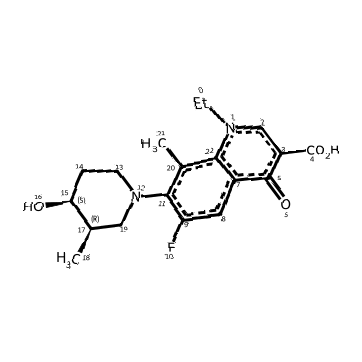 CCn1cc(C(=O)O)c(=O)c2cc(F)c(N3CC[C@H](O)[C@H](C)C3)c(C)c21